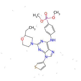 CCC1CN(c2nc(Nc3ccc(P(=O)(OC)OC)cc3)c3ncn(-c4ccsc4)c3n2)CCO1